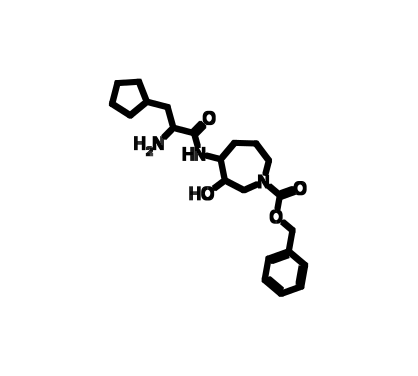 NC(CC1CCCC1)C(=O)NC1CCCN(C(=O)OCc2ccccc2)CC1O